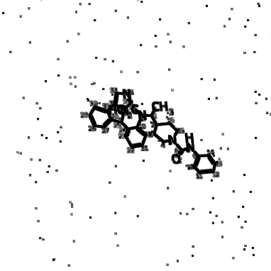 CC(C1CCN(C(=O)Nc2ccccc2)CC1)N(C(=O)O)c1ccccc1C1c2ccccc2-c2cncn21